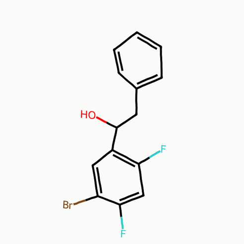 OC(Cc1ccccc1)c1cc(Br)c(F)cc1F